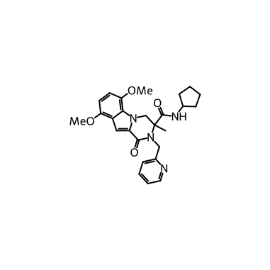 COc1ccc(OC)c2c1cc1n2CC(C)(C(=O)NC2CCCC2)N(Cc2ccccn2)C1=O